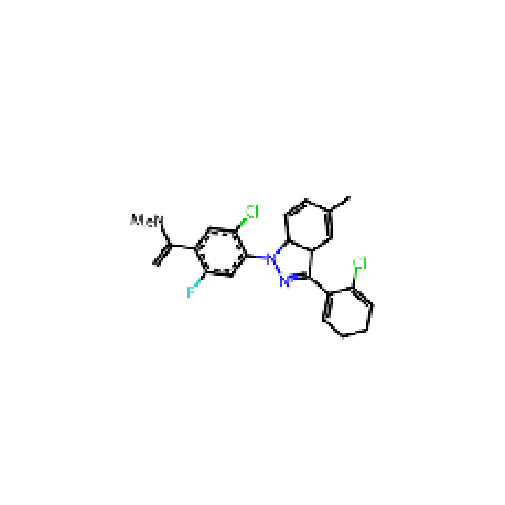 C=C(NC)c1cc(Cl)c(N2N=C(C3=CCCC=C3Cl)C3C=C(C)C=CC32)cc1F